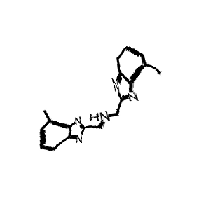 CC1=C2N=C(CNCC3=NC4=C(C)C=CCC4=N3)N=C2CC=C1